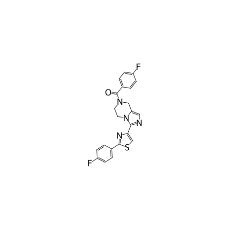 O=C(c1ccc(F)cc1)N1CCn2c(cnc2-c2csc(-c3ccc(F)cc3)n2)C1